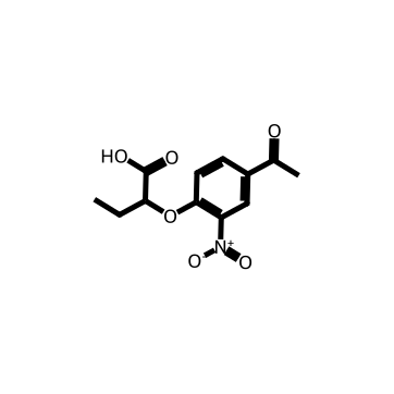 CCC(Oc1ccc(C(C)=O)cc1[N+](=O)[O-])C(=O)O